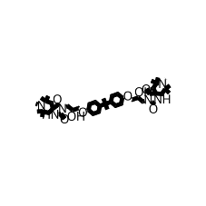 CN1C(C)(C)CC2(CC1(C)C)NC(=O)N(CC(O)COC1CCC(C(C)(C)C3CCC(OCC(O)CN4C(=O)NC5(CC(C)(C)N(C)C(C)(C)C5)C4=O)CC3)CC1)C2=O